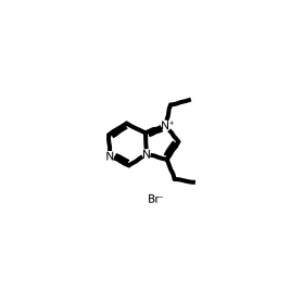 CCc1c[n+](CC)c2ccncn12.[Br-]